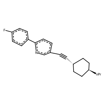 CCC[C@H]1CC[C@H](C#Cc2ccc(-c3ccc(F)cc3)nc2)CC1